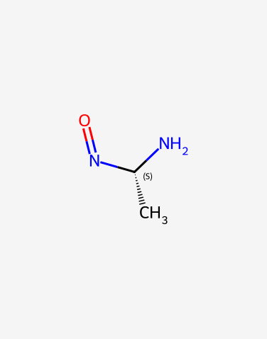 C[C@@H](N)N=O